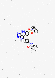 C=C(C)C(=O)Nc1ccc(-c2c(-c3ccc(S(=O)(=O)N(C)C4CCCC4)cc3)c3c(N)ncnc3n2C)cc1